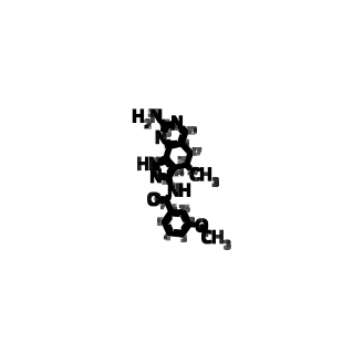 COc1cccc(C(=O)Nc2n[nH]c3c2C(C)Cc2cnc(N)nc2-3)c1